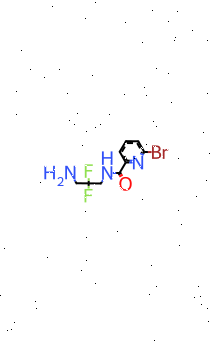 NCC(F)(F)CNC(=O)c1cccc(Br)n1